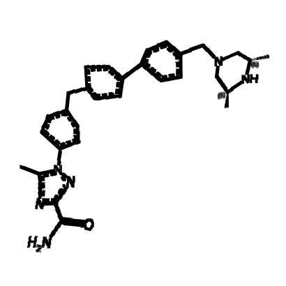 Cc1nc(C(N)=O)nn1-c1ccc(Cc2ccc(-c3ccc(CN4C[C@H](C)N[C@@H](C)C4)cc3)cc2)cc1